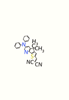 CC1(C)c2cc(N(C3=CC=CCC3)c3ccccc3)cnc2-c2sc(C=C(C#N)C#N)cc21